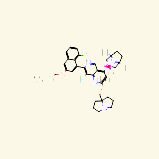 COCOc1cc(-c2ncc3c(N4C[C@H]5CC[C@@H](C4)N5C(=O)OC(C)(C)C)cc(OCC45CCCN4CCC5)nc3c2F)c2c(Cl)cccc2c1